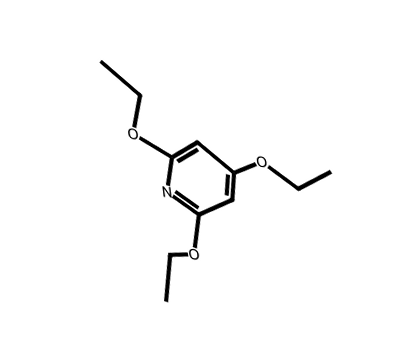 CCOc1cc(OCC)nc(OCC)c1